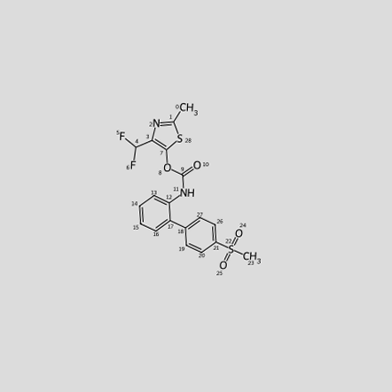 Cc1nc(C(F)F)c(OC(=O)Nc2ccccc2-c2ccc(S(C)(=O)=O)cc2)s1